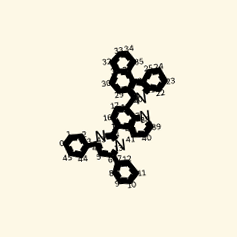 c1ccc(-c2cc(-c3ccccc3)nc(-c3ccc(-c4nc5ccccc5c5c4ccc4ccccc45)c4ncccc34)n2)cc1